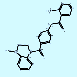 Cc1ccccc1C(=O)Nc1ccc(C(=O)N2CC[S+]([O-])c3ccccc32)cc1